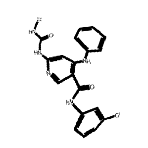 CCNC(=O)Nc1cc(Nc2ccccc2)c(C(=O)Nc2cccc(Cl)c2)cn1